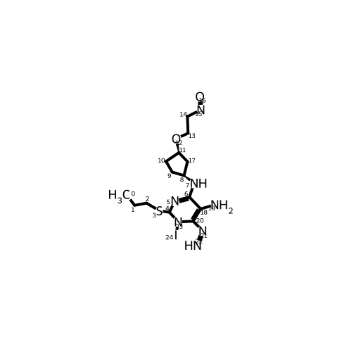 CCCSC1N=C(N[C@H]2CC[C@@H](OCCN=O)C2)C(N)=C(N=N)N1I